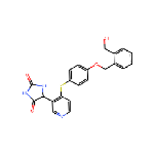 O=C1NC(=O)C(c2cnccc2Sc2ccc(OCc3ccccc3CO)cc2)N1